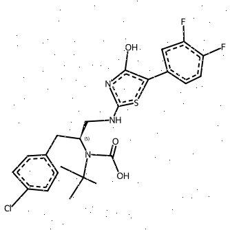 CC(C)(C)N(C(=O)O)[C@H](CNc1nc(O)c(-c2ccc(F)c(F)c2)s1)Cc1ccc(Cl)cc1